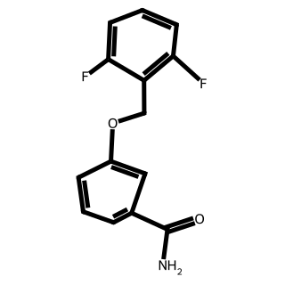 NC(=O)c1cccc(OCc2c(F)cccc2F)c1